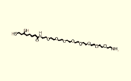 NCCOCCOCCOCCOCCOCCOCCOCCOCCNC(=O)CCCCC(S)CCS